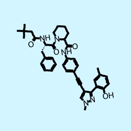 Cc1ccc(O)c(-c2nn(C)cc2C#Cc2ccc(NC(=O)C3CCCCN3C(=O)[C@H](Cc3ccccc3)NC(=O)CC(C)(C)C)cc2)c1